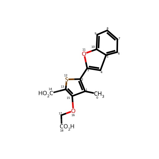 Cc1c(-c2cc3ccccc3o2)sc(C(=O)O)c1OCC(=O)O